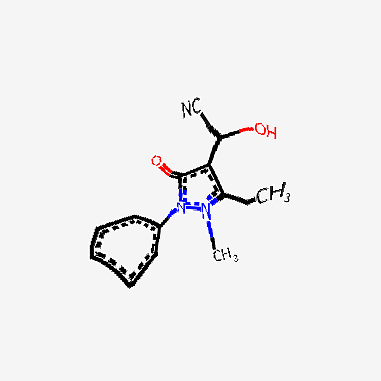 Cc1c(C(O)C#N)c(=O)n(-c2ccccc2)n1C